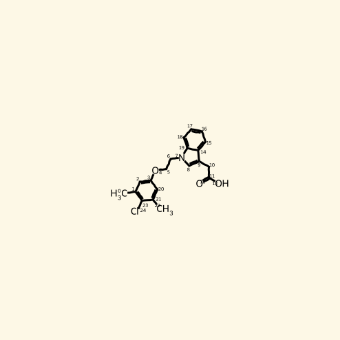 Cc1cc(OCCn2cc(CC(=O)O)c3ccccc32)cc(C)c1Cl